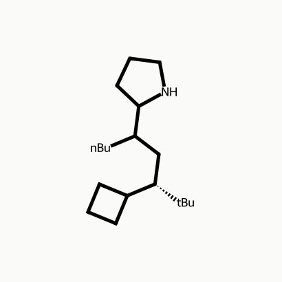 CCCCC(C[C@@H](C1CCC1)C(C)(C)C)C1CCCN1